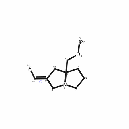 CC(C)OCC12CCCN1C/C(=C/F)C2